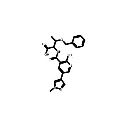 CC(OCc1ccccc1)C(NC(=O)c1cc(-c2cnn(C)c2)cnc1N)C(=O)O